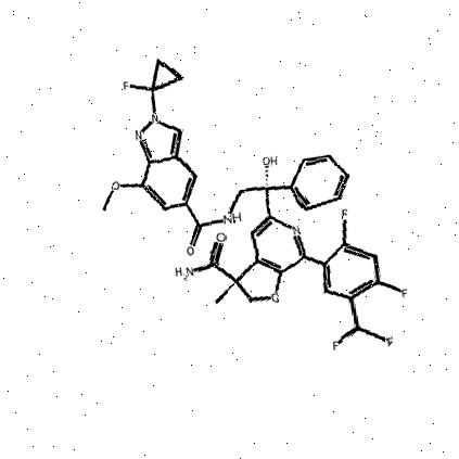 COc1cc(C(=O)NC[C@@](O)(c2ccccc2)c2cc3c(c(-c4cc(C(F)F)c(F)cc4F)n2)OC[C@]3(C)C(N)=O)cc2cn(C3(F)CC3)nc12